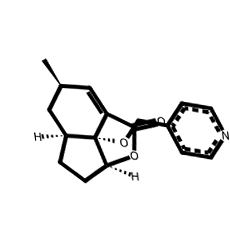 C[C@H]1C=C2C(=O)O[C@H]3CC[C@@H](C1)[C@@]23OCc1ccncc1